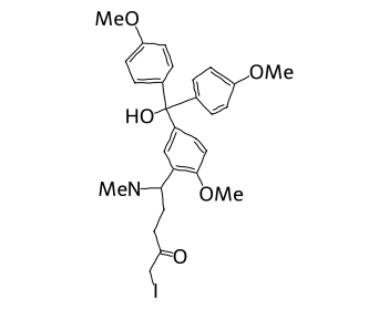 CNC(CCC(=O)CI)c1cc(C(O)(c2ccc(OC)cc2)c2ccc(OC)cc2)ccc1OC